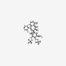 Cc1ccccc1C1=N[C@H](NC(=O)[C@H](CCC(F)(F)F)[C@H](CCC(F)(F)F)C(N)=O)C(=O)Nc2c(Cl)cccc21